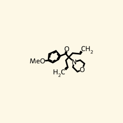 C=CCC(CC=C)(C(=O)c1ccc(OC)cc1)N1CCOCC1